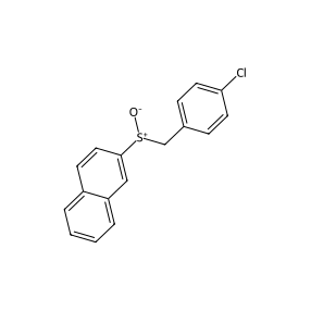 [O-][S+](Cc1ccc(Cl)cc1)c1ccc2ccccc2c1